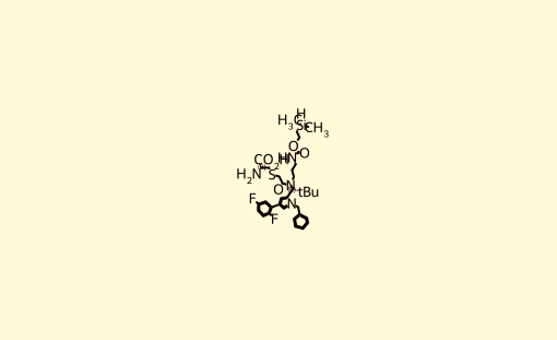 C[SiH](C)CCOC(=O)NCCCN(C(=O)CSC[C@H](N)C(=O)O)[C@@H](c1cc(-c2cc(F)ccc2F)cn1Cc1ccccc1)C(C)(C)C